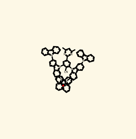 Cc1cc(C)nc(-c2cc(-n3c4cc(-n5c6ccccc6c6ccccc65)ccc4c4ccc(-n5c6ccccc6c6ccccc65)cc43)c(C#N)c(-n3c4cc(-n5c6ccccc6c6ccccc65)ccc4c4ccc(-n5c6ccccc6c6ccccc65)cc43)c2)n1